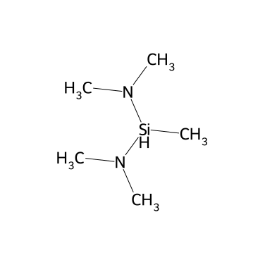 CN(C)[SiH](C)N(C)C